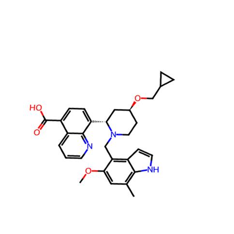 COc1cc(C)c2[nH]ccc2c1CN1CC[C@H](OCC2CC2)C[C@H]1c1ccc(C(=O)O)c2cccnc12